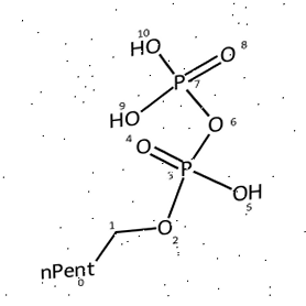 CCCCCCOP(=O)(O)OP(=O)(O)O